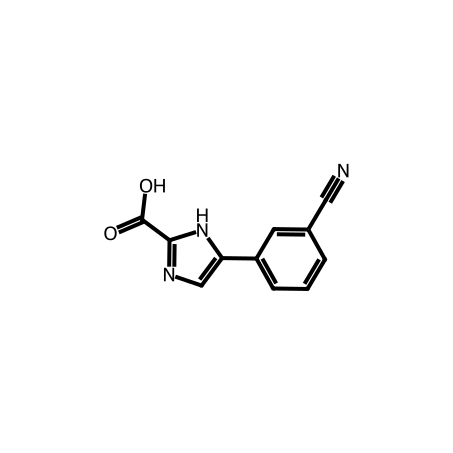 N#Cc1cccc(-c2cnc(C(=O)O)[nH]2)c1